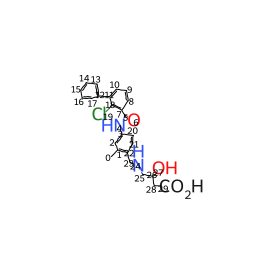 Cc1cc(NC(=O)c2cccc(-c3ccccc3)c2Cl)ccc1CNCC(O)CC(=O)O